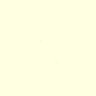 CN(C)Cc1nc(C[S])cs1